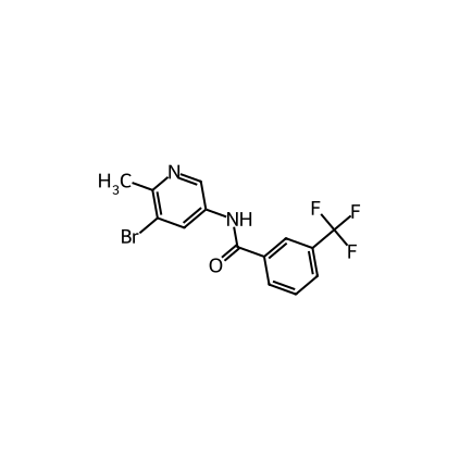 Cc1ncc(NC(=O)c2cccc(C(F)(F)F)c2)cc1Br